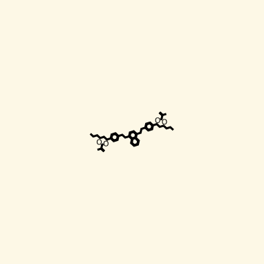 C=C(C)C(=O)OC(CCCCC)c1ccc(CCc2ccc(CCc3ccc(C(CCCCC)OC(=O)C(=C)C)cc3)c3ccccc23)cc1